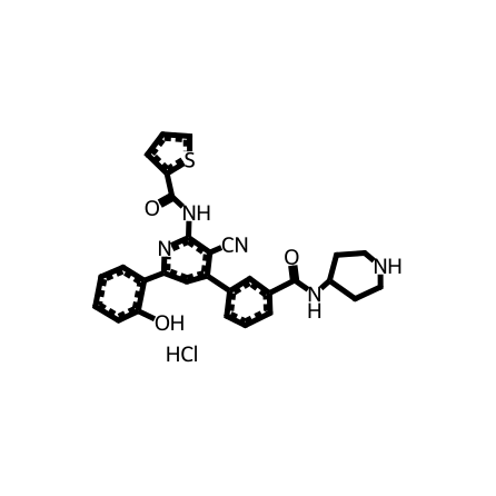 Cl.N#Cc1c(-c2cccc(C(=O)NC3CCNCC3)c2)cc(-c2ccccc2O)nc1NC(=O)c1cccs1